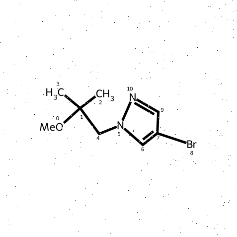 COC(C)(C)Cn1cc(Br)cn1